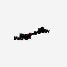 COC(=O)N[C@H](C(=O)N1CCC[C@H]1c1nc2cc(C#Cc3ccc(-c4ccc5[nH]c([C@@H]6CCCN6C(=O)[C@@H](C)C(C)C)nc5c4)cc3)ccc2[nH]1)C(C)C